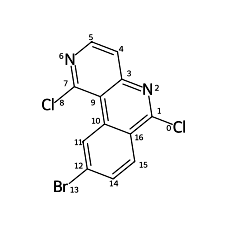 Clc1nc2ccnc(Cl)c2c2cc(Br)ccc12